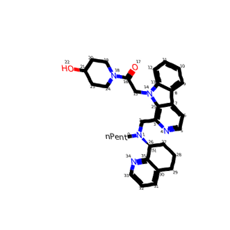 CCCCCN(Cc1nccc2c3ccccc3n(CC(=O)N3CCC(O)CC3)c12)[C@H]1CCCc2cccnc21